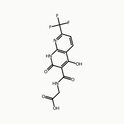 O=C(O)CNC(=O)c1c(O)c2ccc(C(F)(F)F)nc2[nH]c1=O